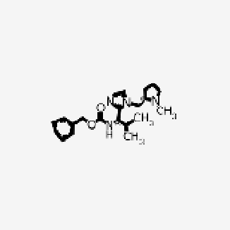 CC(C)[C@H](NC(=O)OCc1ccccc1)c1nccn1C[C@H]1CCCN1C